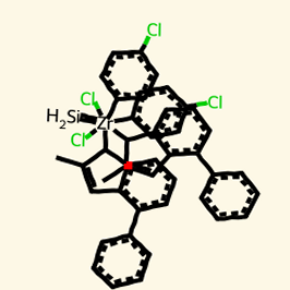 CC1=Cc2c(-c3ccccc3)cccc2[CH]1[Zr](=[SiH2])([Cl])([Cl])([c]1ccc(Cl)cc1)([c]1ccc(Cl)cc1)[CH]1C(C)=Cc2c(-c3ccccc3)cccc21